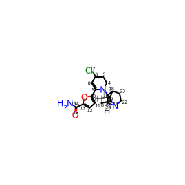 C[C@H]1[C@H](N2CC=C(Cl)C=C2c2ccc(C(N)=O)o2)C2CCN1CC2